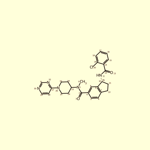 CN(C(=O)c1ccc2c(c1)[C@H](NC(=O)c1ccccc1Cl)CC2)C1CCN(c2ccncn2)CC1